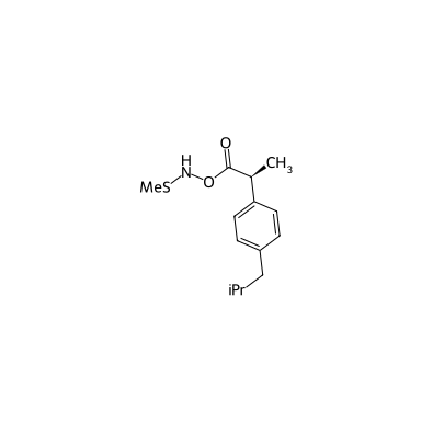 CSNOC(=O)[C@@H](C)c1ccc(CC(C)C)cc1